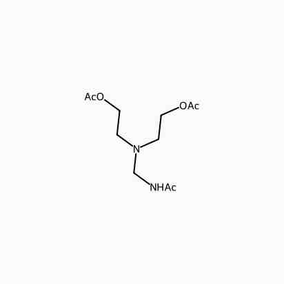 CC(=O)NCN(CCOC(C)=O)CCOC(C)=O